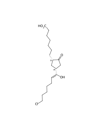 O=C(O)CCCCCC[C@H]1C[C@@H](C(O)=CCCCCCCl)CC1=O